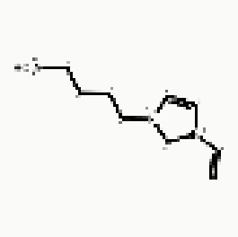 C=CN1C=CN(CCCCS(=O)(=O)O)C1